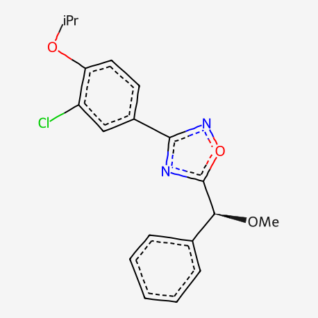 CO[C@@H](c1ccccc1)c1nc(-c2ccc(OC(C)C)c(Cl)c2)no1